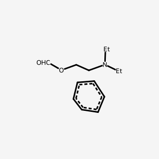 CCN(CC)CCOC=O.c1ccccc1